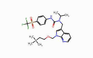 CC(C)N(Cc1cn(COCC[Si](C)(C)C)c2ncccc12)C(=O)Nc1ccc(S(=O)(=O)C(F)(F)F)cc1